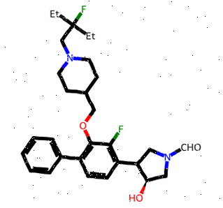 CCC(F)(CC)CN1CCC(COc2c(-c3ccccc3)ccc(C3CN(C=O)C[C@H]3O)c2F)CC1